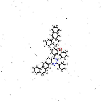 CCC1C(c2ccc([C@H]3CCc4cc5ccccc5cc4-c4ccccc43)c3oc4ccccc4c23)=NC(c2ccccc2)=NC1c1ccc2c(ccc3ccccc32)c1